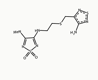 CNC1=NS(=O)(=O)N=C1NCCSCc1nsnc1N